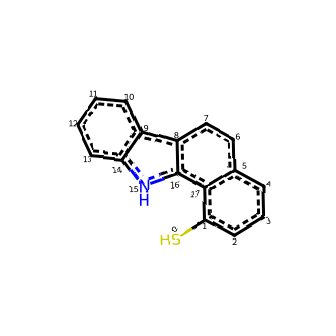 Sc1cccc2ccc3c4ccccc4[nH]c3c12